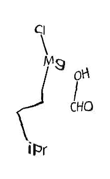 CC(C)C[CH2][Mg][Cl].O=CO